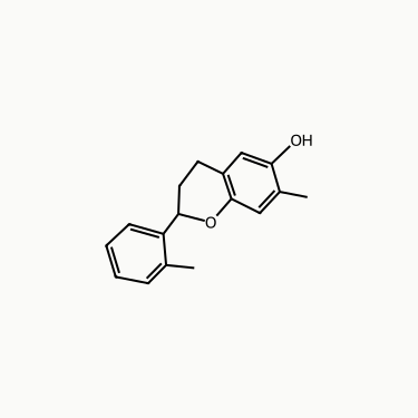 Cc1cc2c(cc1O)CCC(c1ccccc1C)O2